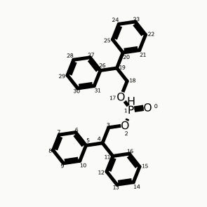 O=[PH](OCC(c1ccccc1)c1ccccc1)OCC(c1ccccc1)c1ccccc1